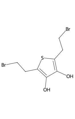 Oc1c(CCBr)sc(CCBr)c1O